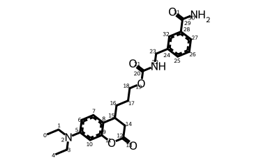 CCN(CC)c1ccc2c(c1)OC(=O)CC2CCCOC(=O)NCc1cccc(C(N)=O)c1